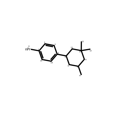 CCCc1ccc(C2CC(C)CC(C)(C)C2)cc1